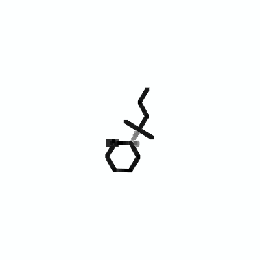 CCCC(C)(C)[C@@H]1CCCCN1